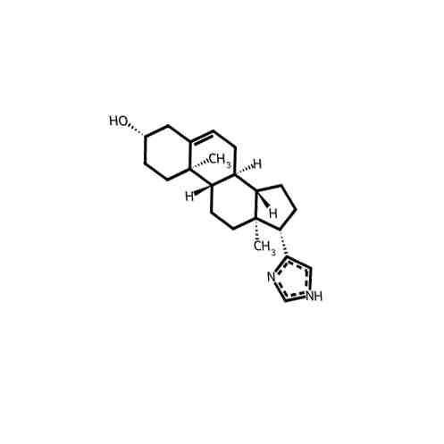 C[C@]12CC[C@H]3[C@@H](CC=C4C[C@@H](O)CC[C@@]43C)[C@@H]1CC[C@@H]2c1c[nH]cn1